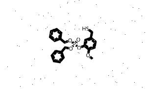 COc1ccc(CS)cc1OP(=O)(OCc1ccccc1)OCc1ccccc1